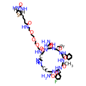 CC(C)C[C@H]1NC(=O)[C@@H](CC(N)=O)NC(=O)[C@@H](NC(=O)COCCOCCOCCNC(=O)CCCC[C@H]2SC[C@H]3NC(=O)N[C@H]32)Cc2cn(nn2)CCCC[C@@H](C(N)=O)NC(=O)[C@H](Cc2ccc(F)cc2)NC(=O)[C@@H](C)NC(=O)[C@@H](Cc2ccccc2)NC1=O